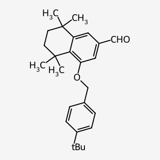 CC(C)(C)c1ccc(COc2cc(C=O)cc3c2C(C)(C)CCC3(C)C)cc1